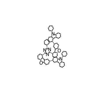 c1ccc(-c2nc(-c3cccc4oc5ccc(-c6ccc7c(c6)c6ccccc6n7-c6ccccc6)cc5c34)nc(-c3cccc4oc5ccc(-c6cccc7c6c6ccccc6n7-c6ccccc6)cc5c34)n2)cc1